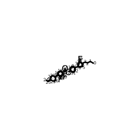 CCCCc1ccc(-c2ccc(OC(=O)c3ccc(C4CCC(CC)CC4)c(F)c3F)cc2)cc1F